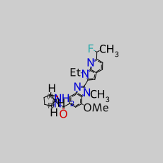 CCn1c(-c2nc3cc(C(=O)N4C[C@H]5CC[C@@H]4[C@@H]5N)cc(OC)c3n2C)cc2ccc(C(C)F)nc21